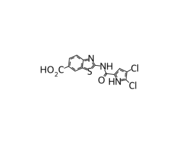 O=C(O)c1ccc2nc(NC(=O)c3cc(Cl)c(Cl)[nH]3)sc2c1